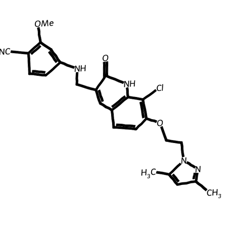 COc1cc(NCc2cc3ccc(OCCn4nc(C)cc4C)c(Cl)c3[nH]c2=O)ccc1C#N